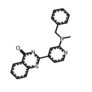 CN(Cc1ccccc1)c1cc(-c2nc(=O)c3ccccc3s2)ccn1